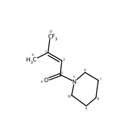 C/C(=C\C(=O)N1CCCCC1)C(F)(F)F